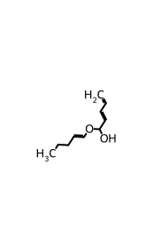 C=CC=CC(O)OC=CCCC